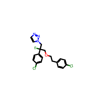 FC(COCCc1ccc(Cl)cc1)(Cn1ccnn1)c1ccc(Cl)cc1